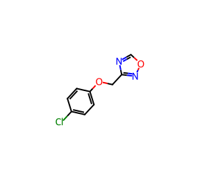 Clc1ccc(OCc2ncon2)cc1